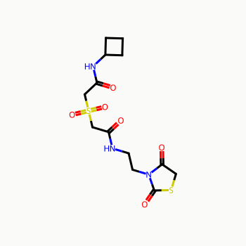 O=C(CS(=O)(=O)CC(=O)NC1CCC1)NCCN1C(=O)CSC1=O